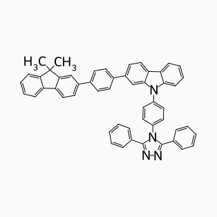 CC1(C)c2ccccc2-c2ccc(-c3ccc(-c4ccc5c6ccccc6n(-c6ccc(-n7c(-c8ccccc8)nnc7-c7ccccc7)cc6)c5c4)cc3)cc21